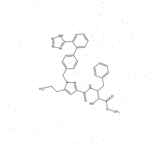 CCCc1cc(C(=O)NC(Cc2ccccc2)C(O)C(=O)OC)nn1Cc1ccc(-c2ccccc2-c2nnn[nH]2)cc1